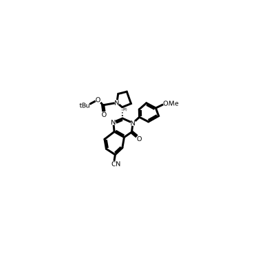 COc1ccc(-n2c([C@H]3CCCN3C(=O)OC(C)(C)C)nc3ccc(C#N)cc3c2=O)cc1